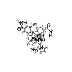 CNC(=O)c1ccc2c(c1)CCc1cc(C(=O)NC)ccc1C2(C[C@@H](NCC(=O)N1CCCC1C#N)C(C)(C)C)c1nnn[nH]1